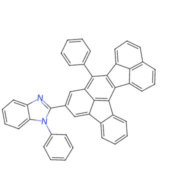 c1ccc(-c2c3cc(-c4nc5ccccc5n4-c4ccccc4)cc4c5ccccc5c(c34)c3c4cccc5cccc(c23)c54)cc1